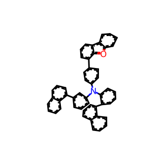 c1cc(-c2cccc3ccccc23)cc(N(c2ccc(-c3cccc4c3oc3ccccc34)cc2)c2ccccc2-c2cccc3ccccc23)c1